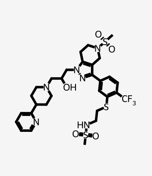 CS(=O)(=O)NCCSc1cc(-c2nn(CC(O)CN3CCC(c4ccccn4)CC3)c3c2CN(S(C)(=O)=O)CC3)ccc1C(F)(F)F